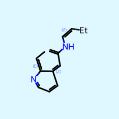 C=C(/C=c1/cccn/c1=C/C)N/C=C\CC